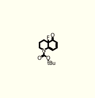 CC(C)(C)OC(=O)N1CCCC2(F)C(=O)C=CC=C12